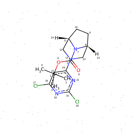 CC(C)(C)OC(=O)N1[C@@H]2CC[C@H]1CN(c1cc(Cl)nc(Cl)n1)C2